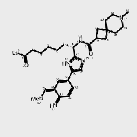 CCC(=O)CCCCC[C@H](NC(=O)C1CC2(CCN(C)CC2)C1)c1ncc(C2=C/C(=C/NC)C(=N)C=C2)[nH]1